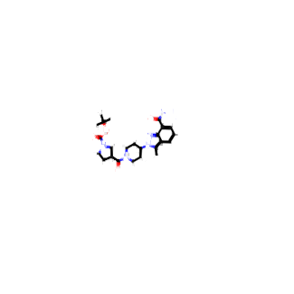 Cc1c2cccc(C(N)=O)c2nn1C1CCN(C(=O)C2CCN(C(=O)OC(C)(C)C)C2)CC1